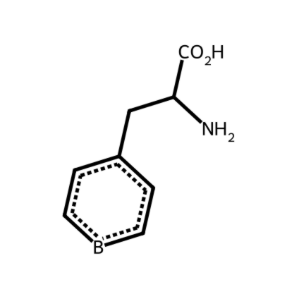 NC(Cc1ccbcc1)C(=O)O